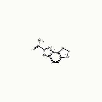 NC(=O)c1nc2ccc3c(n2n1)CCN3